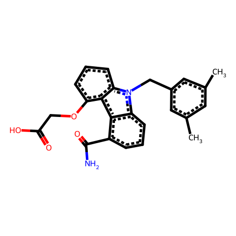 Cc1cc(C)cc(Cn2c3cccc(OCC(=O)O)c3c3c(C(N)=O)cccc32)c1